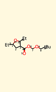 CCC1CC(C(=O)OCOCC(C)(C)C)C(CC)O1